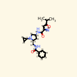 CC(C)c1cc(C(=O)N[C@H]2C[C@@H](CNC(=O)c3ccccc3)N(C3CC3)C2)no1